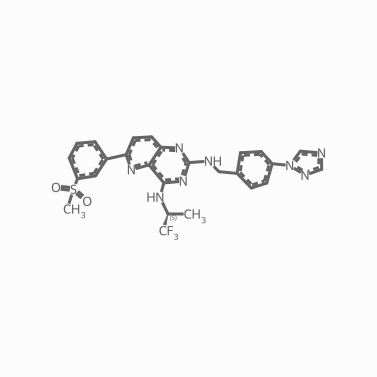 C[C@H](Nc1nc(NCc2ccc(-n3cncn3)cc2)nc2ccc(-c3cccc(S(C)(=O)=O)c3)nc12)C(F)(F)F